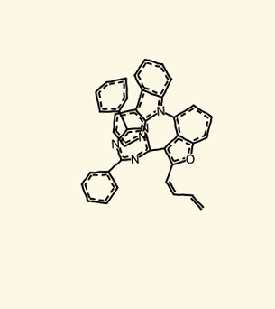 C=C/C=C\c1oc2cccc(-n3c4ccccc4c4cccnc43)c2c1-c1nc(-c2ccccc2)nc(-c2ccccc2)n1